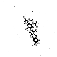 COc1ccc(CN2C(=O)C(=O)N(c3cc4c(cc3C)N(C(C)C)CCN4C(C)C)C2=S)cc1